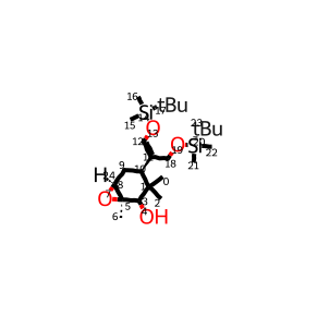 CC1(C)C(O)[C@@]2(C)O[C@H]2C[C@H]1/C(=C/O[Si](C)(C)C(C)(C)C)CO[Si](C)(C)C(C)(C)C